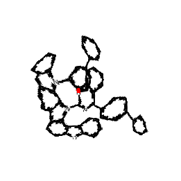 c1ccc(-c2ccc(-c3nc(-n4c5c(ccc6oc7ccccc7c65)c5ccc6c7ccccc7n(-c7cccc(-c8ccccc8)c7)c6c54)nc4ccccc34)cc2)cc1